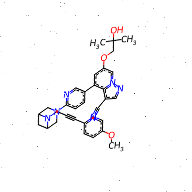 COc1ccc(C#CCN2C3CC2CN(c2ccc(-c4cc(OCC(C)(C)O)cn5ncc(C#N)c45)cn2)C3)nc1